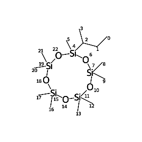 CCC(C)[Si]1(C)O[Si](C)(C)O[Si](C)(C)O[Si](C)(C)O[Si](C)(C)O1